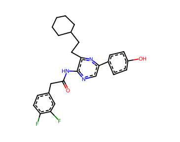 O=C(Cc1ccc(F)c(F)c1)Nc1ncc(-c2ccc(O)cc2)nc1CCC1CCCCC1